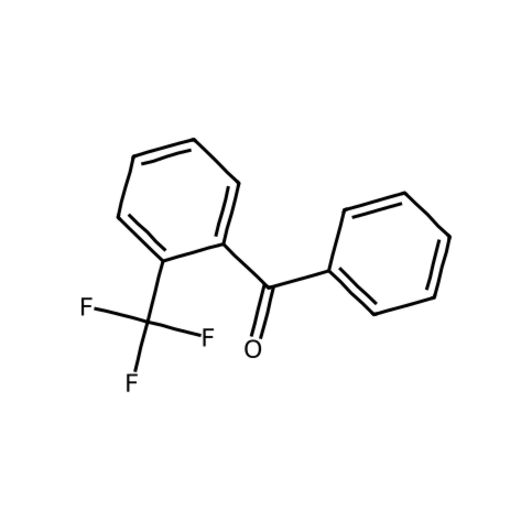 O=C(c1ccccc1)c1ccccc1C(F)(F)F